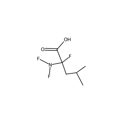 CC(C)CC(F)(C(=O)O)N(F)F